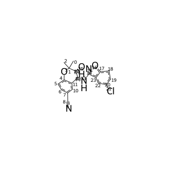 CC1(C)Oc2ccc(C#N)cc2[C@@H](Nc2noc3ccc(Cl)cc23)[C@@H]1O